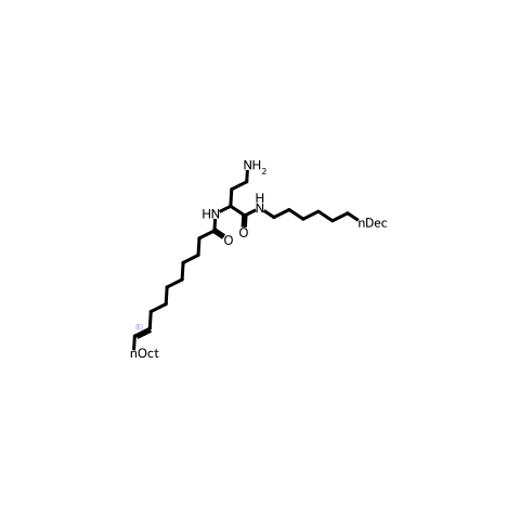 CCCCCCCC/C=C/CCCCCCCC(=O)NC(CCN)C(=O)NCCCCCCCCCCCCCCCC